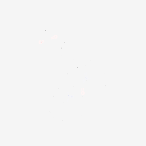 C=C1Cc2c(-c3cccc(CS(=O)(=O)CCC)c3)c(C)n(C3CC3)c(=O)c2C(Nc2ccc(C)cc2F)=C1C